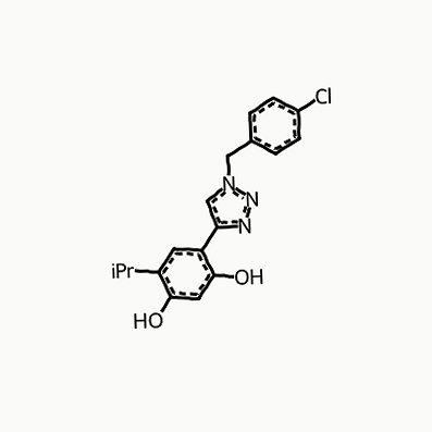 CC(C)c1cc(-c2cn(Cc3ccc(Cl)cc3)nn2)c(O)cc1O